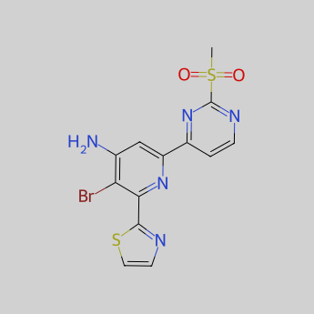 CS(=O)(=O)c1nccc(-c2cc(N)c(Br)c(-c3nccs3)n2)n1